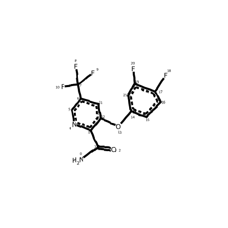 NC(=O)c1ncc(C(F)(F)F)cc1Oc1ccc(F)c(F)c1